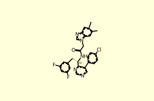 Cc1cc2ncn(CC(=O)N[C@@H](Cc3cc(F)cc(F)c3)c3ncncc3-c3ccc(Cl)cc3)c2cc1C